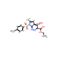 CCOC(=O)c1nnc2c(cc(Cl)n2S(=O)(=O)c2ccc(C)cc2)c1O